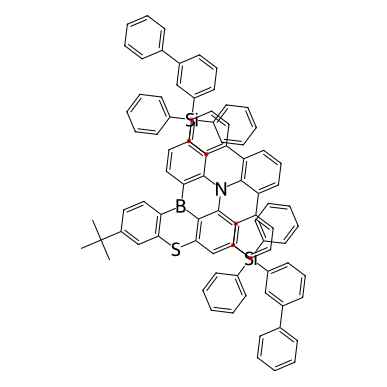 CC(C)(C)c1ccc2c(c1)Sc1cc([Si](c3ccccc3)(c3ccccc3)c3cccc(-c4ccccc4)c3)cc3c1B2c1ccc([Si](c2ccccc2)(c2ccccc2)c2cccc(-c4ccccc4)c2)cc1N3c1c(-c2ccccc2)cccc1-c1ccccc1